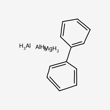 [AlH3].[AlH3].[MgH2].c1ccc(-c2ccccc2)cc1